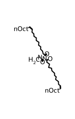 C=NC(=O)N(C(=O)CCCCCCCCCCC/C=C\CCCCCCCC)C(=O)CCCCCCCCCCC/C=C\CCCCCCCC